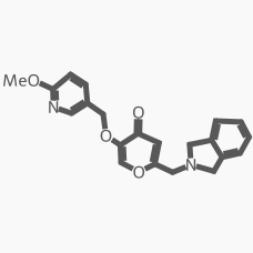 COc1ccc(COc2coc(CN3Cc4ccccc4C3)cc2=O)cn1